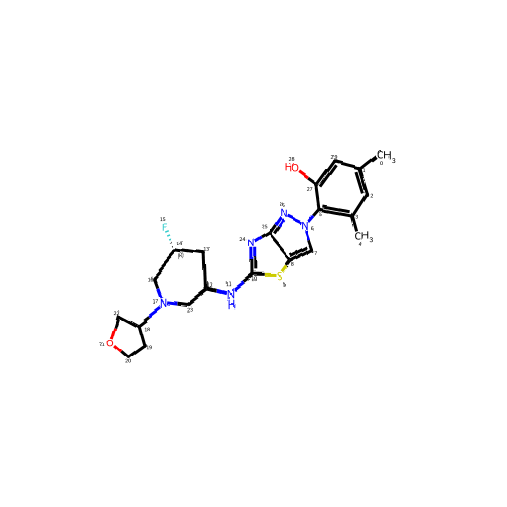 Cc1cc(C)c(-n2cc3sc(NC4C[C@@H](F)CN(C5CCOC5)C4)nc3n2)c(O)c1